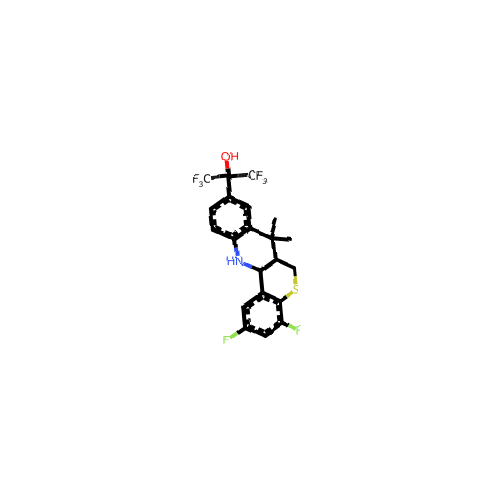 CC1(C)c2cc(C(O)(C(F)(F)F)C(F)(F)F)ccc2NC2c3cc(F)cc(F)c3SCC21